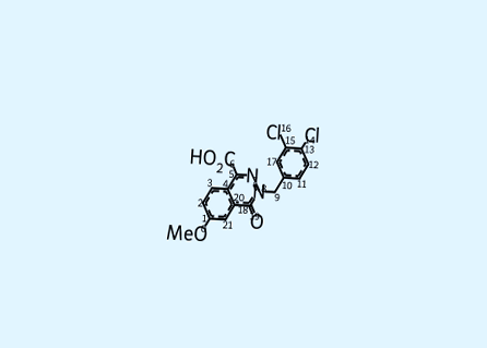 COc1ccc2c(C(=O)O)nn(Cc3ccc(Cl)c(Cl)c3)c(=O)c2c1